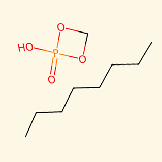 CCCCCCCC.O=P1(O)OCO1